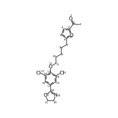 CC(=O)c1ccc(CCCCCOc2c(Cl)cc(C3=NCCO3)cc2Cl)o1